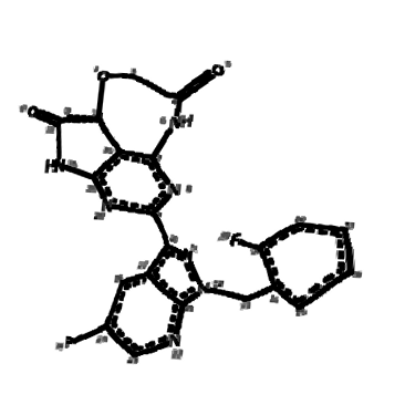 CC12OCC(=O)Nc3nc(-c4nn(Cc5ccccc5F)c5ncc(F)cc45)nc(c31)NC2=O